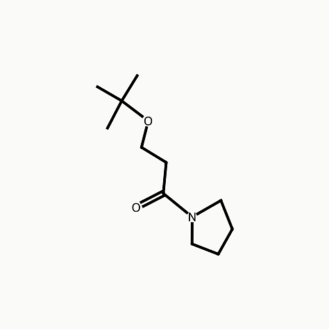 CC(C)(C)OCCC(=O)N1CCCC1